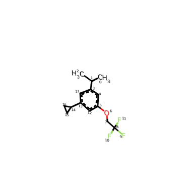 CC(C)c1cc(OCC(F)(F)F)cc(C2CC2)c1